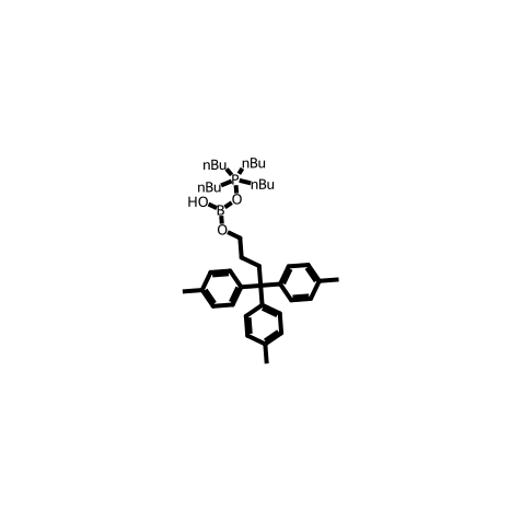 CCCCP(CCCC)(CCCC)(CCCC)OB(O)OCCCC(c1ccc(C)cc1)(c1ccc(C)cc1)c1ccc(C)cc1